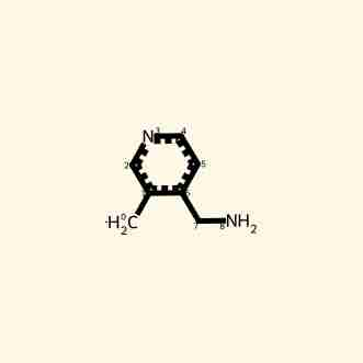 [CH2]c1cnccc1CN